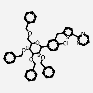 Clc1ccc(C2OC(COCc3ccccc3)[C@@H](OCc3ccccc3)C(OCc3ccccc3)[C@H]2OCc2ccccc2)cc1Cc1ccc(-c2ncccn2)s1